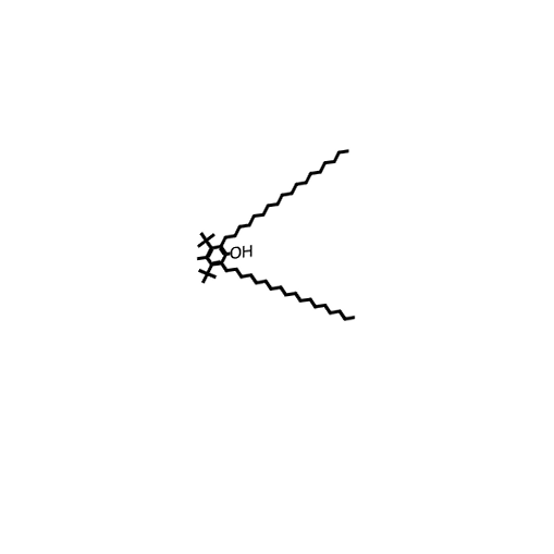 CCCCCCCCCCCCCCCCCCc1c(O)c(CCCCCCCCCCCCCCCCCC)c(C(C)(C)C)c(C)c1C(C)(C)C